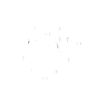 FC(F)(F)C(F)(F)C12C(F)(F)C3(F)C(F)(F)C(C(F)(F)F)(C(F)(F)C(C(F)(F)F)(C3(F)F)C1(F)F)C2(F)F